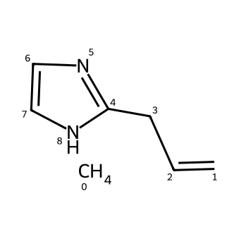 C.C=CCc1ncc[nH]1